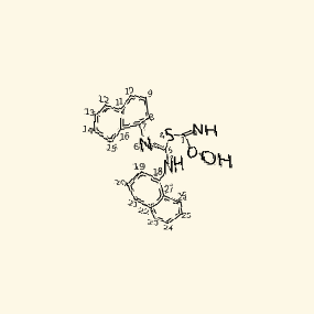 N=C(OO)SC(=Nc1cccc2ccccc12)Nc1cccc2ccccc12